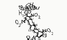 CC(C)(C)C(C)(O[SiH2]c1cc([N+](=O)[O-])c2cc3cc4cc5c([N+](=O)[O-])ccc([N+](=O)[O-])c5cc4cc3cc2c1[N+](=O)[O-])C(C)(C)C